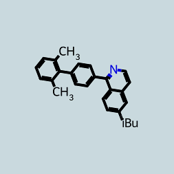 CCC(C)c1ccc2c(-c3ccc(-c4c(C)cccc4C)cc3)nccc2c1